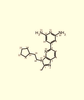 Cc1nc2ccc(-c3cc(N)nc(N)c3)nc2n1CCC1CCCC1